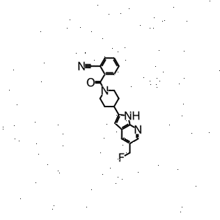 N#Cc1ccccc1C(=O)N1CCC(c2cc3cc(CF)cnc3[nH]2)CC1